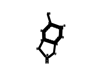 [CH2]c1cc2c(cn1)CNC2